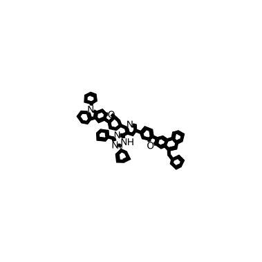 C1=CCC(Cc2cc3ccccc3c3cc4c(cc23)OC2CC(C3C=NC(C5CCC6C7=Cc8c9c(n(C%10CC=CCC%10)c8CC7OC6C5)CCCC9)=C(C5=NC(C6=CCCC=C6)=N[C@@H](C6C=CC=CC6)N5)C3)=CC=C42)C=C1